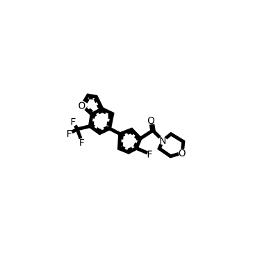 O=C(c1cc(-c2cc(C(F)(F)F)c3occc3c2)ccc1F)N1CCOCC1